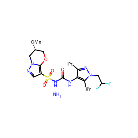 CO[C@@H]1COc2c(S(=O)(=O)NC(=O)Nc3c(C(C)C)nn(CC(F)F)c3C(C)C)cnn2C1.N